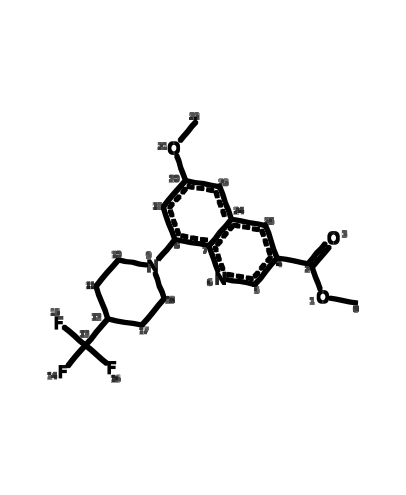 COC(=O)c1cnc2c(N3CCC(C(F)(F)F)CC3)cc(OC)cc2c1